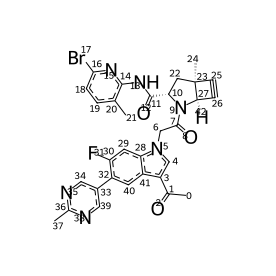 CC(=O)c1cn(CC(=O)N2[C@H](C(=O)Nc3nc(Br)ccc3C)C[C@@]3(C)C#C[C@@H]23)c2cc(F)c(-c3cnc(C)nc3)cc12